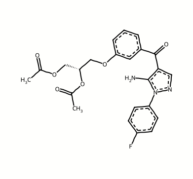 CC(=O)OC[C@H](COc1cccc(C(=O)c2cnn(-c3ccc(F)cc3)c2N)c1)OC(C)=O